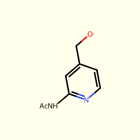 CC(=O)Nc1cc(C[O])ccn1